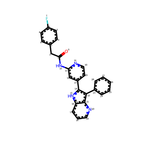 O=C(Cc1ccc(F)cc1)Nc1cc(-c2[nH]c3cccnc3c2-c2ccccc2)ccn1